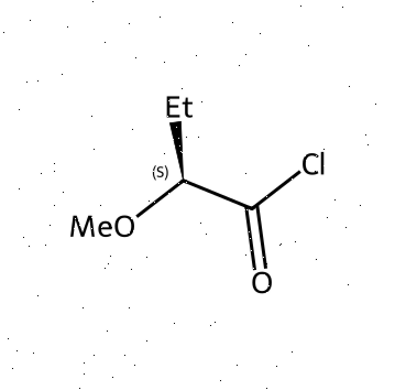 CC[C@H](OC)C(=O)Cl